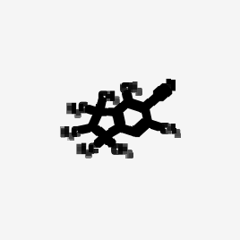 Cc1cc2c(c(C)c1C#N)C(C)(C)C(C)C2(C)C